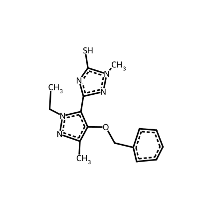 CCn1nc(C)c(OCc2ccccc2)c1-c1nc(S)n(C)n1